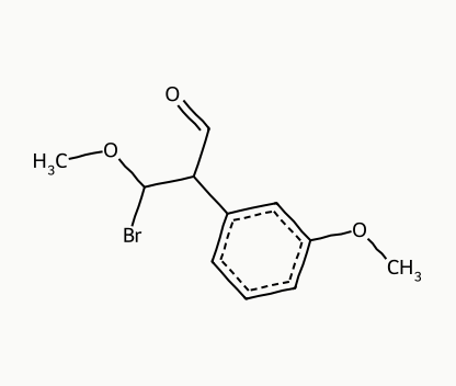 COc1cccc(C(C=O)C(Br)OC)c1